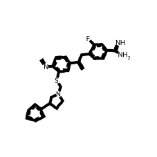 C=Nc1ccc(C(=C)Cc2ccc(C(=N)N)cc2F)cc1SCN1CCC(c2ccccc2)C1